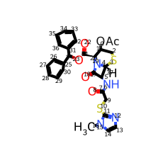 CC(=O)OC1CS[C@@H]2[C@H](NC(=O)CSc3nccn3C)C(=O)N2[C@H]1C(=O)OC(c1ccccc1)c1ccccc1